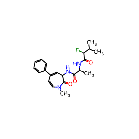 CC(C)[C@H](F)C(=O)N[C@@H](C)C(=O)NC1C=C(c2ccccc2)C=CN(C)C1=O